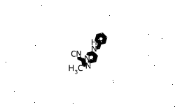 Cc1nc2ccc(NCc3ccccc3)cn2c1CC#N